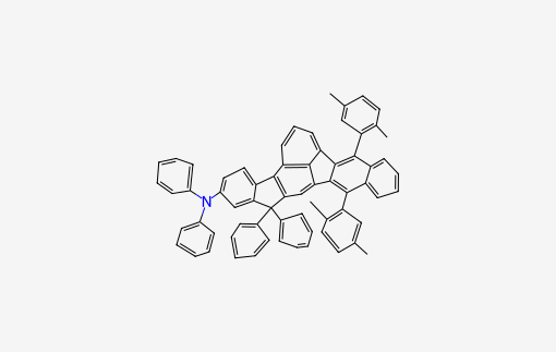 Cc1ccc(C)c(-c2c3c(c(-c4cc(C)ccc4C)c4ccccc24)-c2cc4c(c5cccc-3c25)-c2ccc(N(c3ccccc3)c3ccccc3)cc2C4(c2ccccc2)c2ccccc2)c1